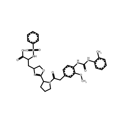 COc1cc(CC(=O)N2CCCC2C2=NC(CC(NS(=O)(=O)c3ccccc3)C(=O)O)CO2)ccc1NC(=O)Nc1ccccc1C